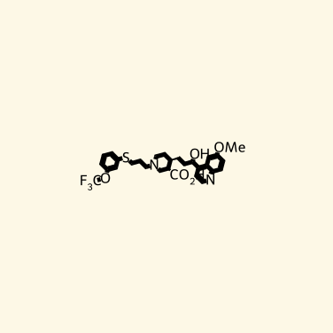 COc1ccc2nccc(C(O)CC[C@@H]3CCN(CCCSc4cccc(OC(F)(F)F)c4)C[C@@H]3C(=O)O)c2c1